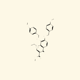 CCn1cc(C(=O)OC)c(=O)c2ccc(OCc3ccc(OC)cc3)c(OCc3ccc(OC)cc3)c21